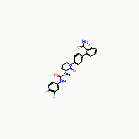 NC(=O)c1ccccc1-c1ccc(N2CCC[C@@H](NC(=O)Nc3ccc(F)c(F)c3)C2=O)cc1